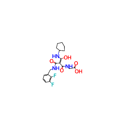 O=C(O)CNC(=O)/C(C(=O)NCc1cccc(F)c1F)=C(\O)NC1CCCCC1